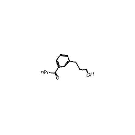 CCCC(=O)c1cccc(CCCO)c1